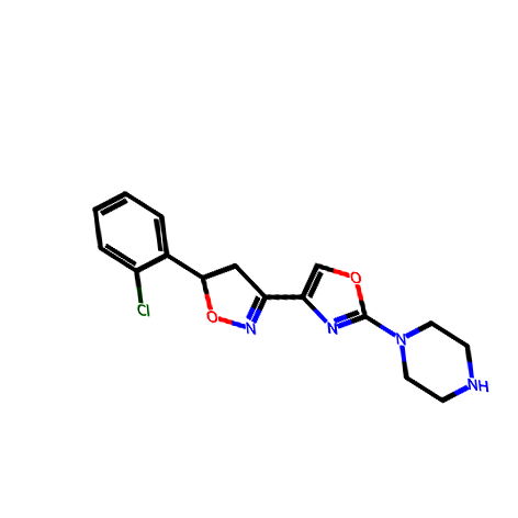 Clc1ccccc1C1CC(c2coc(N3CCNCC3)n2)=NO1